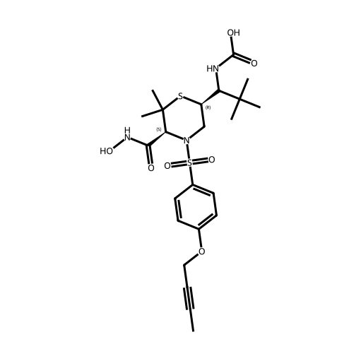 CC#CCOc1ccc(S(=O)(=O)N2C[C@H](C(NC(=O)O)C(C)(C)C)SC(C)(C)[C@@H]2C(=O)NO)cc1